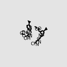 CCOC(=O)Cc1cc(C2CC2)cn2cc(COc3cc(Cl)ncn3)nc12.O=C(O)c1cnn(Cc2cn3cc(C4CC4)ccc3n2)c1CN1CCOCC1